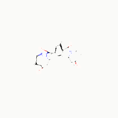 O=C1CCN(C(=O)c2ccc(C(=O)N3CCC(=O)CC3)cc2)CC1